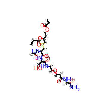 CCC(=O)OCCC(CSCC(NC(C)=O)C(=O)NC(CO)C(=O)NCCOCCC(=O)NCC(N)=O)OC(=O)CC